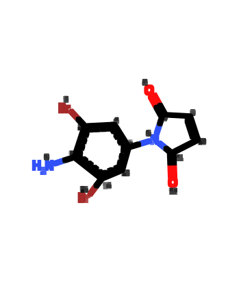 Nc1c(Br)cc(N2C(=O)C=CC2=O)cc1Br